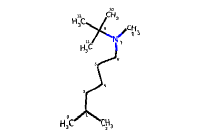 CC(C)CCCCN(C)C(C)(C)C